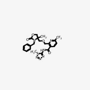 Cn1nnnc1NC(=O)c1ccc(C(F)(F)F)nc1COCC1(C)COC(=O)N1Cc1ccccc1